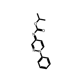 CC(C)OC(=O)N=c1ccn(-c2ccccc2)nc1